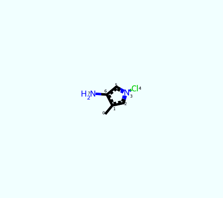 Cc1cn(Cl)cc1N